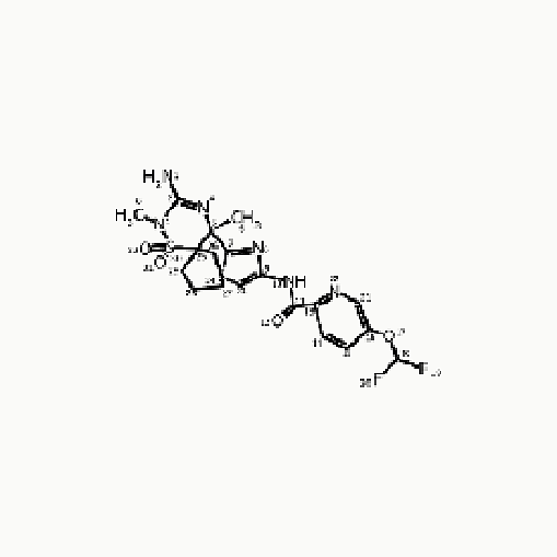 CN1C(N)=N[C@](C)(c2nc(NC(=O)c3ccc(OC(F)F)cn3)cs2)C2(CCCC2)S1(=O)=O